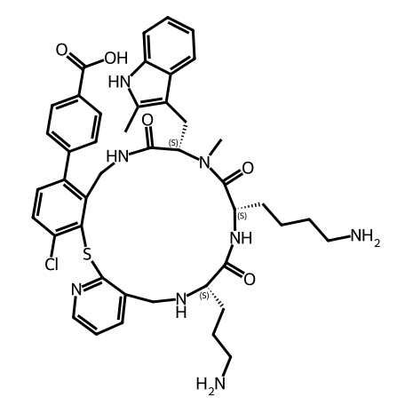 Cc1[nH]c2ccccc2c1C[C@H]1C(=O)NCc2c(-c3ccc(C(=O)O)cc3)ccc(Cl)c2Sc2ncccc2CN[C@@H](CCCN)C(=O)N[C@@H](CCCCN)C(=O)N1C